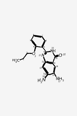 CCCOc1ccccc1-c1nc2cc(N)c(N)cc2c(=O)[nH]1